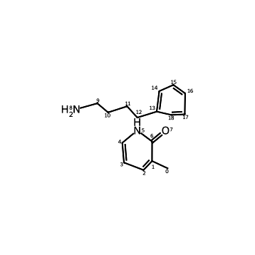 Cc1ccc[nH]c1=O.NCCCCc1ccccc1